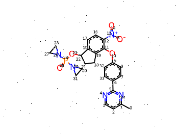 Cc1ccnc(-c2ccc(Oc3c([N+](=O)[O-])ccc4c3CCC4OP(=O)(N3CC3)N3CC3)cc2)n1